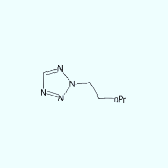 [CH2]CCCCn1ncnn1